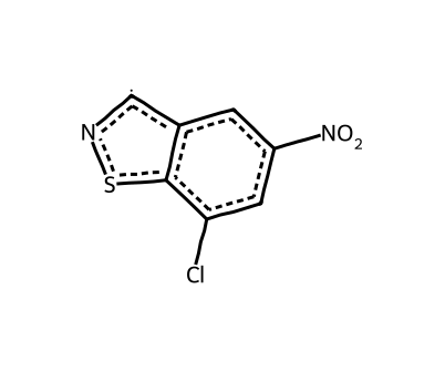 O=[N+]([O-])c1cc(Cl)c2sn[c]c2c1